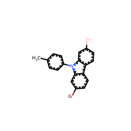 Bc1ccc2c3ccc(Br)cc3n(-c3ccc(C)cc3)c2c1